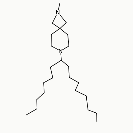 CCCCCCCCC(CCCCCCC)N1CCC2(CC1)CN(C)C2